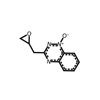 [O-][n+]1nc(CC2CO2)nc2ccccc21